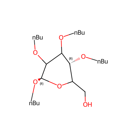 CCCCOC1C(OCCCC)[C@H](OCCCC)C(CO)O[C@H]1OCCCC